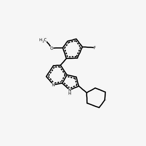 COc1ccc(F)cc1-c1ccnc2[nH]c(C3CC[CH]CC3)cc12